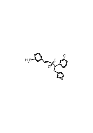 Bc1cccc(/C=C/S(=O)(=O)N(Cc2ccsc2)c2cccc(Cl)c2)c1